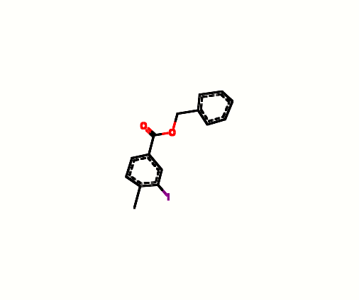 Cc1ccc(C(=O)OCc2ccccc2)cc1I